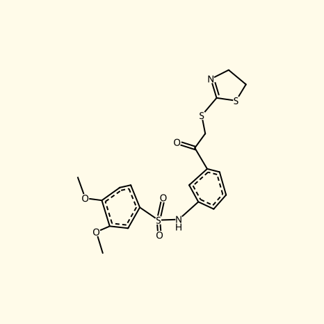 COc1ccc(S(=O)(=O)Nc2cccc(C(=O)CSC3=NCCS3)c2)cc1OC